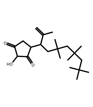 C=C(C)C(CC(C)(C)CC(C)(C)CC(C)(C)C)C1CC(=O)C(O)C1=O